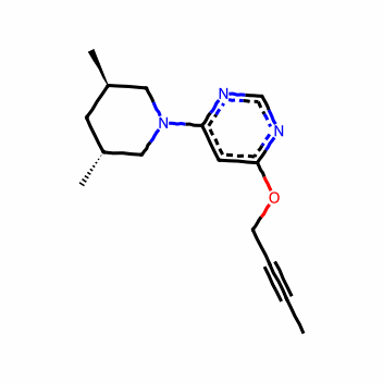 CC#CCOc1cc(N2C[C@H](C)C[C@@H](C)C2)ncn1